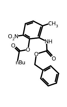 CCCCC(=O)Oc1c([N+](=O)[O-])ccc(C)c1NC(=O)OCc1ccccc1